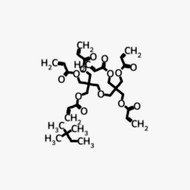 C=CC(=O)OCC(COCC(COC(=O)C=C)(COC(=O)C=C)COC(=O)C=C)(COC(=O)C=C)COC(=O)C=C.CCC(C)(C)C